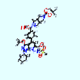 CC(C)Oc1nn(C2CCCCC2)c2nc(C(=O)NS(C)(=O)=O)cc(-c3ccc(C(O)N4CC5CN(C(=O)OC(C)(C)C)CC5C4)cc3)c12